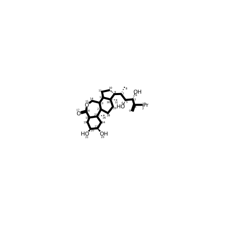 C=C(C(C)C)[C@@H](O)[C@H](O)[C@@H](C)[C@H]1CCC2C3COC(=O)C4C[C@H](O)[C@H](O)C[C@]4(C)C3CC[C@@]21C